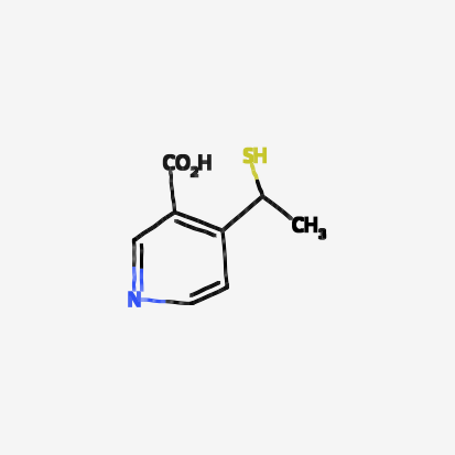 CC(S)c1ccncc1C(=O)O